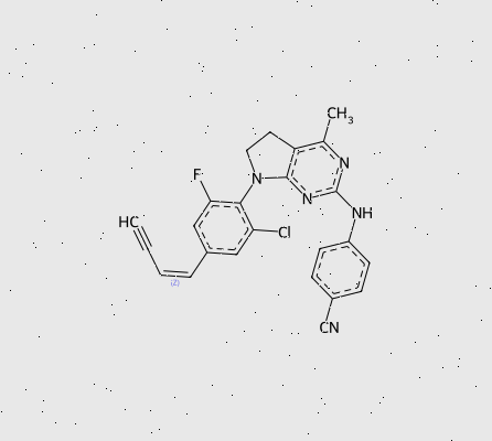 C#C/C=C\c1cc(F)c(N2CCc3c(C)nc(Nc4ccc(C#N)cc4)nc32)c(Cl)c1